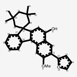 COc1cc2c3c(cc(O)c2cc1-c1ccco1)C1(CC(C)(C)CC(C)(C)C1)c1ccccc1-3